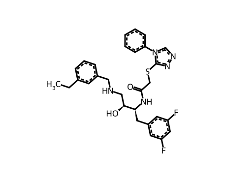 CCc1cccc(CNC[C@H](O)[C@H](Cc2cc(F)cc(F)c2)NC(=O)CSc2nncn2-c2ccccc2)c1